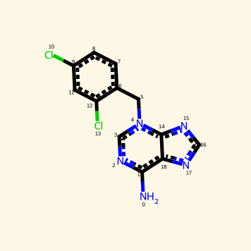 Nc1ncn(Cc2ccc(Cl)cc2Cl)c2ncnc1-2